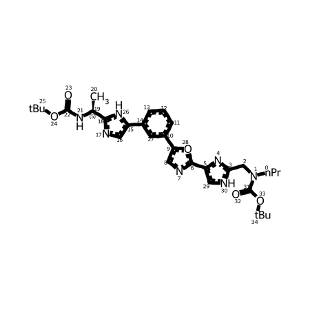 CCCN(Cc1nc(-c2ncc(-c3cccc(-c4cnc([C@H](C)NC(=O)OC(C)(C)C)[nH]4)c3)o2)c[nH]1)C(=O)OC(C)(C)C